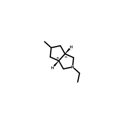 CCN1C[C@H]2CC(C)C[C@H]2C1